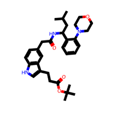 CC(C)CC(NC(=O)Cc1ccc2[nH]cc(CCC(=O)OC(C)(C)C)c2c1)c1ccccc1N1CCOCC1